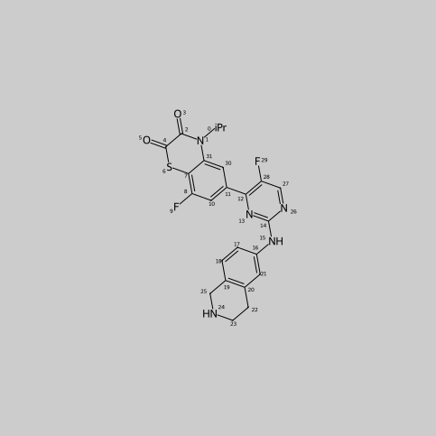 CC(C)n1c(=O)c(=O)sc2c(F)cc(-c3nc(Nc4ccc5c(c4)CCNC5)ncc3F)cc21